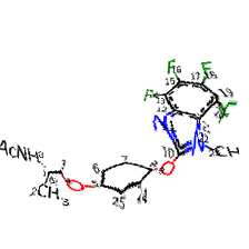 CC(=O)N[C@@H](C)CO[C@H]1CC[C@H](Oc2nc3c(F)c(F)c(F)c(F)c3n2C)CC1